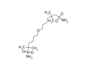 CC(C)(CCCCOCCCCC(C)(C)S(N)(=O)=O)CS(N)(=O)=O